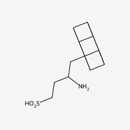 NC(CCS(=O)(=O)O)CC12C3C4C5C3C1C5C42